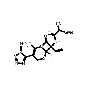 C=CC1(NC(=O)C(C#N)SC)C(=O)N2C(C(=O)O)=C(c3nnnn3C)CS[C@H]21